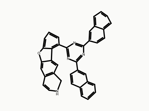 C1=Cc2cc3oc4cccc(-c5nc(-c6ccc7ccccc7c6)nc(-c6ccc7ccccc7c6)n5)c4c3cc2CN1